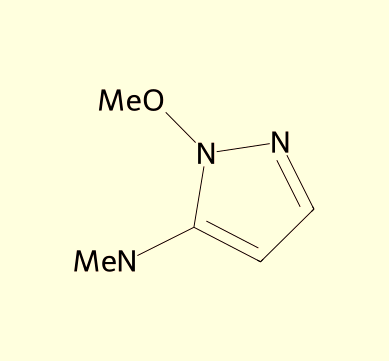 CNc1ccnn1OC